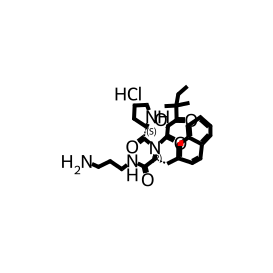 CCC(C)(C)C(=O)C(=O)C(=O)N(C(=O)[C@@H]1CCCN1)[C@H](Cc1ccc2ccccc2c1)C(=O)NCCCN.Cl